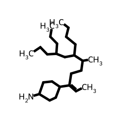 C/C=C(\CCC(C)C(CCCC)CC(CCC)CCC)C1CCC(N)CC1